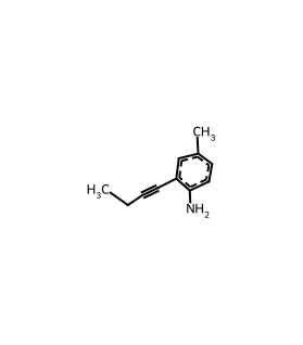 CCC#Cc1cc(C)ccc1N